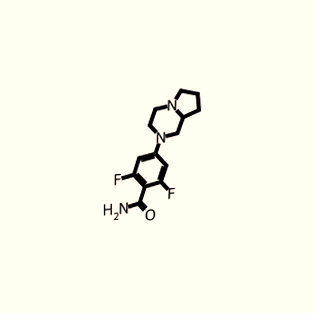 NC(=O)c1c(F)cc(N2CCN3CCCC3C2)cc1F